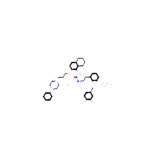 CCCCCCCN(CCc1cccc(OC)c1OCc1ccccc1)C(=O)Nc1c(OCCCN2CCN(c3ccccc3)CC2)ccc2c1CCCC2